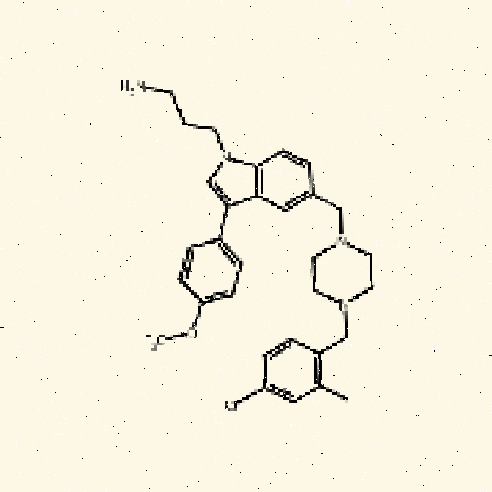 Cc1cc(Cl)ccc1CN1CCN(Cc2ccc3c(c2)c(-c2ccc(OC(F)(F)F)cc2)cn3CCCN)CC1